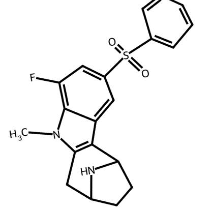 Cn1c2c(c3cc(S(=O)(=O)c4ccccc4)cc(F)c31)C1CCC(C2)N1